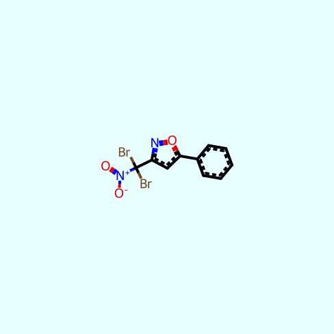 O=[N+]([O-])C(Br)(Br)c1cc(-c2ccccc2)on1